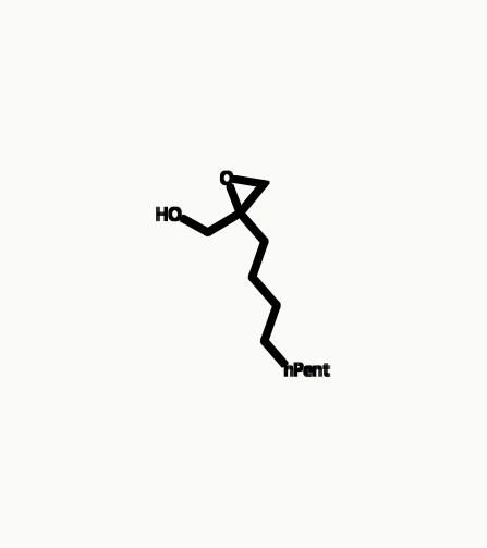 CCCCCCCCCC1(CO)CO1